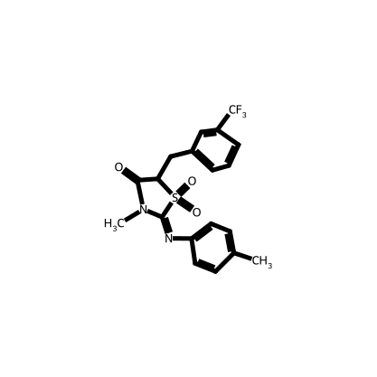 Cc1ccc(N=C2N(C)C(=O)C(Cc3cccc(C(F)(F)F)c3)S2(=O)=O)cc1